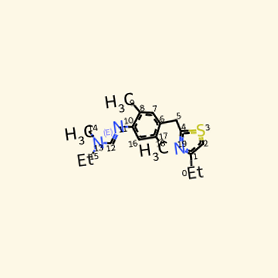 CCc1csc(Cc2cc(C)c(/N=C/N(C)CC)cc2C)n1